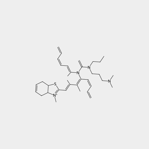 C=C/C=C\C=C(/C)N(C(=C)N(CCC)CCCN(C)C)C(/C=C\C=C)=C(C)\C(C)=C\C1=[N+](C)C2CC=CCC2S1